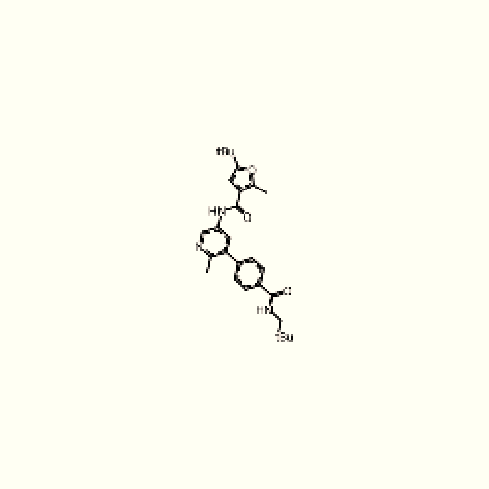 Cc1ncc(NC(=O)c2cc(C(C)(C)C)oc2C)cc1-c1ccc(C(=O)NCC(C)(C)C)cc1